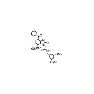 CCOC(=O)C[N+]1(CC(=O)NCc2cc(OC)cc(OC)c2)C(=O)Nc2c(C(=O)c3ccccc3)ccc(CC(=O)[O-])c21